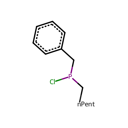 CCCCCCP(Cl)Cc1ccccc1